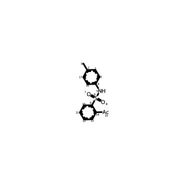 [CH2]c1ccc(NS(=O)(=O)c2ccccc2C(C)=O)cc1